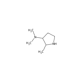 CC1NCCC1N(C)C